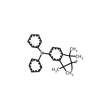 CC1(C)c2ccc(N(c3ccccc3)c3ccccc3)cc2C(C)(C)C1(F)F